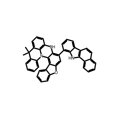 CC1(C)c2ccccc2N2c3c(cccc31)Bc1c(-c3cccc4c3[nH]c3c5ccccc5ccc43)cc3oc4ccccc4c3c12